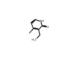 CCc1c(I)cc[nH]c1=O